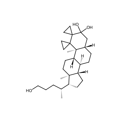 C[C@H](CCCO)[C@H]1CC[C@H]2[C@@H]3CC[C@H]4CC(O)(O)C5(CC5)C5(CC5)[C@]4(C)[C@H]3CC[C@]12C